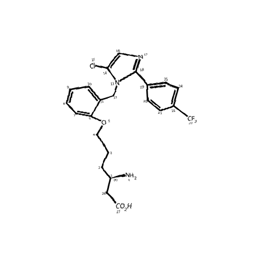 N[C@H](CCCOc1ccccc1Cn1c(Cl)cnc1-c1ccc(C(F)(F)F)cc1)CC(=O)O